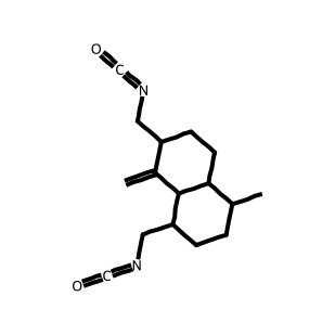 C=C1C(CN=C=O)CCC2C(C)CCC(CN=C=O)C12